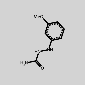 COc1cccc(NNC(N)=O)c1